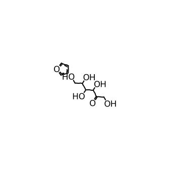 O=C(CO)C(O)C(O)C(O)CO.c1ccoc1